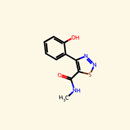 CNC(=O)c1snnc1-c1ccccc1O